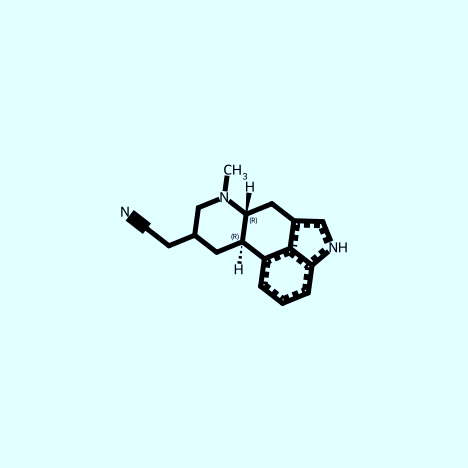 CN1CC(CC#N)C[C@@H]2c3cccc4[nH]cc(c34)C[C@H]21